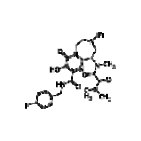 CC(C)N1CCn2c(nc(C(=O)NCc3ccc(F)cc3)c(O)c2=O)C(N(C)C(=O)C(=O)N(C)C)C1